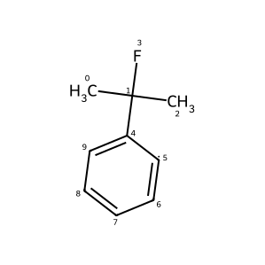 CC(C)(F)c1[c]cccc1